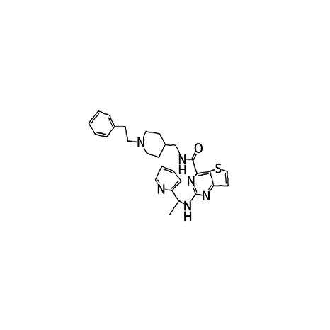 CC(Nc1nc(C(=O)NCC2CCN(CCc3ccccc3)CC2)c2sccc2n1)c1ccccn1